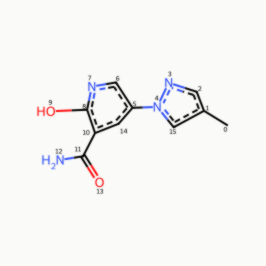 Cc1cnn(-c2cnc(O)c(C(N)=O)c2)c1